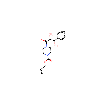 BC(C(=O)N1CCN(C(=O)OCC=C)CC1)C(B)c1ccccc1